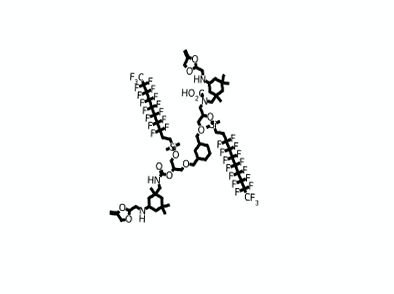 C=C1COC(CNC2CC(C)(C)CC(C)(CNC(=O)OC(COCC3CCCC(COCC(CN(CC4(C)CC(NCC5OCC(=C)O5)CC(C)(C)C4)C(=O)O)O[Si](C)(C)CCC(F)(F)C(F)(F)C(F)(F)C(F)(F)C(F)(F)C(F)(F)C(F)(F)C(F)(F)F)C3)CO[Si](C)(C)CCC(F)(F)C(F)(F)C(F)(F)C(F)(F)C(F)(F)C(F)(F)C(F)(F)C(F)(F)F)C2)O1